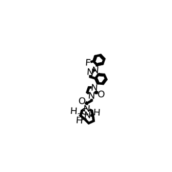 CN1[C@H]2CC[C@@H]1CN(C(=O)CN1CCN(c3cccc4c3cnn4-c3ccccc3F)C1=O)CC2